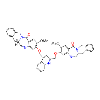 COc1cc2c(cc1OCc1cc(COc3cc4c(cc3OC)C(=O)N3Cc5ccccc5C[C@H]3C=N4)c3ccccc3n1)N=CC1Cc3ccccc3CN1C2=O